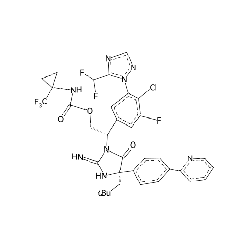 CC(C)(C)C[C@]1(c2ccc(-c3ccccn3)cc2)NC(=N)N([C@H](COC(=O)NC2(C(F)(F)F)CC2)c2cc(F)c(Cl)c(-n3ncnc3C(F)F)c2)C1=O